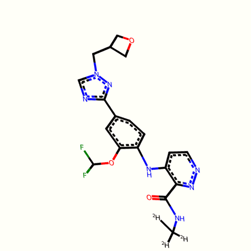 [2H]C([2H])([2H])NC(=O)c1nnccc1Nc1ccc(-c2ncn(CC3COC3)n2)cc1OC(F)F